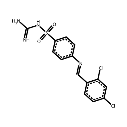 N=C(N)NS(=O)(=O)c1ccc(/N=C/c2ccc(Cl)cc2Cl)cc1